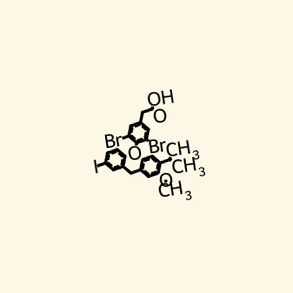 COc1cc(Cc2cccc(I)c2)c(Oc2c(Br)cc(CC(=O)O)cc2Br)cc1C(C)C